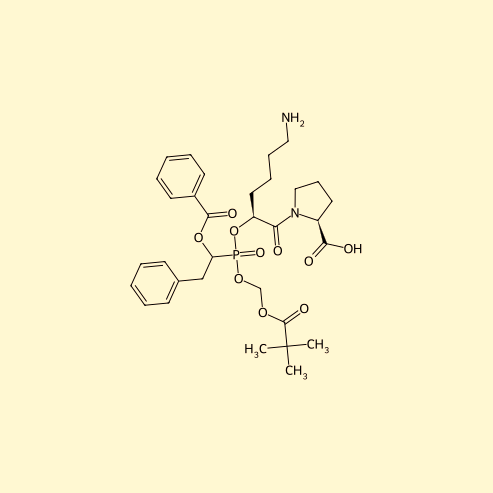 CC(C)(C)C(=O)OCOP(=O)(O[C@@H](CCCCN)C(=O)N1CCC[C@H]1C(=O)O)C(Cc1ccccc1)OC(=O)c1ccccc1